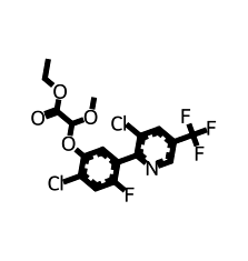 CCOC(=O)C(OC)Oc1cc(-c2ncc(C(F)(F)F)cc2Cl)c(F)cc1Cl